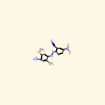 COc1cc(N=Nc2ccc([N+](=O)[O-])cc2C#N)c(C)cc1N